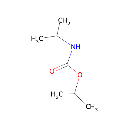 [CH2]C(C)NC(=O)OC(C)C